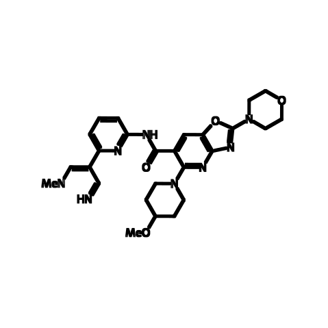 CN/C=C(\C=N)c1cccc(NC(=O)c2cc3oc(N4CCOCC4)nc3nc2N2CCC(OC)CC2)n1